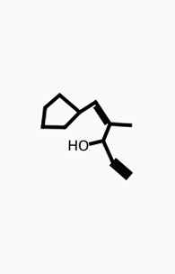 C#CC(O)C(C)=CC1CCCC1